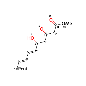 CCCCC/C=C/C=C/C(O)CC(=O)CC(=O)OC